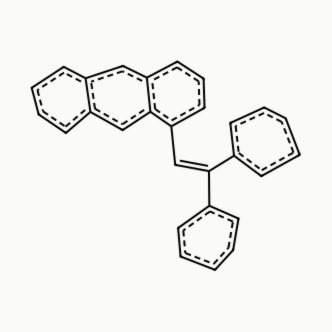 C(=C(c1ccccc1)c1ccccc1)c1cccc2cc3ccccc3cc12